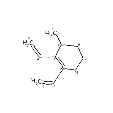 C=CC1=C(C=C)C(C)CCC1